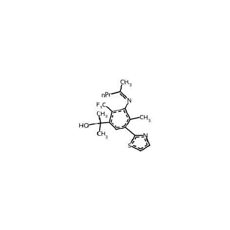 CCC/C(C)=N\c1c(C)c(-c2nccs2)cc(C(C)(C)O)c1C(F)(F)F